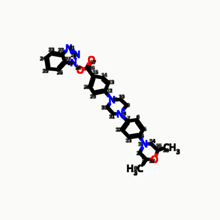 CC1CN(c2ccc(N3CCN(c4ccc(C(=O)On5nnc6ccccc65)cc4)CC3)cc2)CC(C)O1